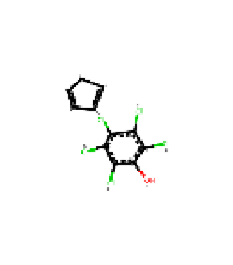 C1=CCC=C1.Oc1c(Cl)c(Cl)c(Cl)c(Cl)c1Cl